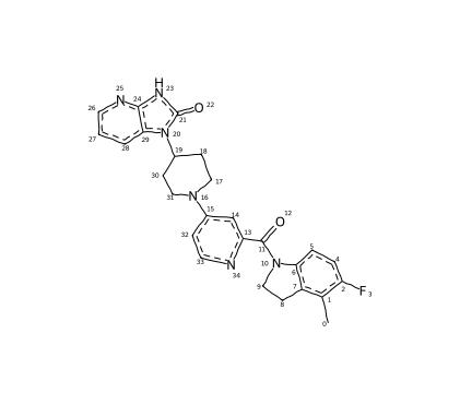 Cc1c(F)ccc2c1CCN2C(=O)c1cc(N2CCC(n3c(=O)[nH]c4ncccc43)CC2)ccn1